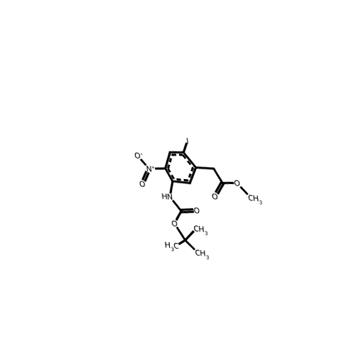 COC(=O)Cc1cc(NC(=O)OC(C)(C)C)c([N+](=O)[O-])cc1I